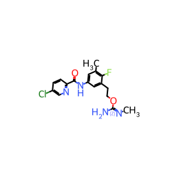 C/N=C(/N)OCCc1cc(NC(=O)c2ccc(Cl)cn2)cc(C)c1F